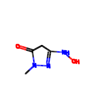 CN1N=C(NO)CC1=O